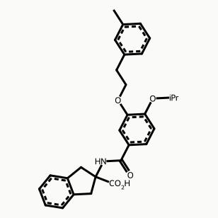 Cc1cccc(CCOc2cc(C(=O)NC3(C(=O)O)Cc4ccccc4C3)ccc2OC(C)C)c1